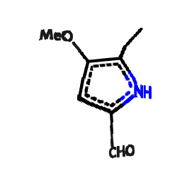 COc1cc(C=O)[nH]c1C